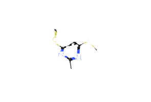 CSc1[c]c(SC)nc(C)n1